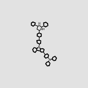 c1ccc(C2CC(c3ccc(-c4ccc(-n5c6ccccc6c6cc(-c7ccc(N(c8ccccc8)c8ccccc8)cc7)ccc65)cc4)cc3)NC(c3ccccc3)N2)cc1